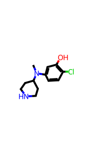 CN(c1ccc(Cl)c(O)c1)C1CCNCC1